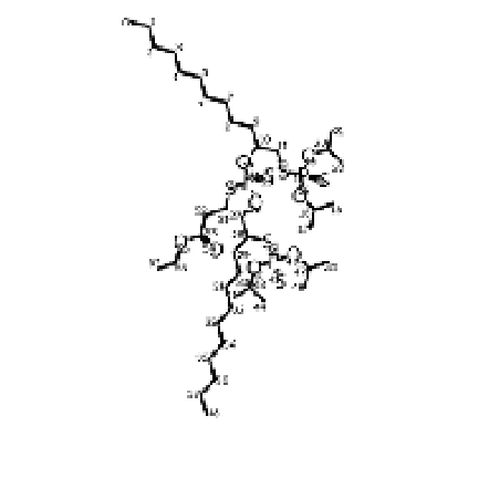 CCCCCCCCCCC(CSP(=S)(OC(C)C)OC(C)C)OP(=S)(OCC(CCCCCCCCCC)SP(=S)(OC(C)C)OC(C)C)SCCC(=O)OCC